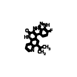 C=C(C)c1cc2c(-c3ccc(F)c4[nH]ncc34)c(N)c(=O)[nH]c2c2cccnc12